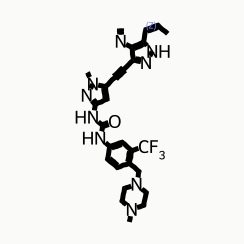 C=Nc1c(C#Cc2cc(NC(=O)Nc3ccc(CN4CCN(C)CC4)c(C(F)(F)F)c3)nn2C)n[nH]c1/C=C\C